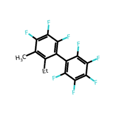 CCc1c(C)c(F)c(F)c(F)c1-c1c(F)c(F)c(F)c(F)c1F